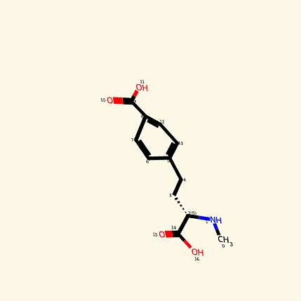 CN[C@@H](CCc1ccc(C(=O)O)cc1)C(=O)O